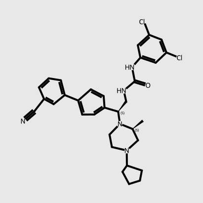 C[C@H]1CN(C2CCCC2)CCN1[C@H](CNC(=O)Nc1cc(Cl)cc(Cl)c1)c1ccc(-c2cccc(C#N)c2)cc1